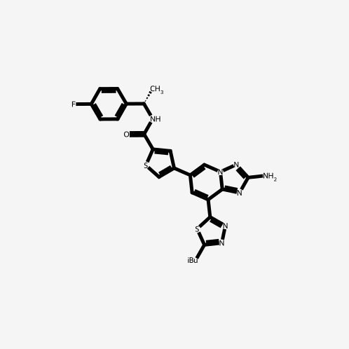 CCC(C)c1nnc(-c2cc(-c3csc(C(=O)N[C@@H](C)c4ccc(F)cc4)c3)cn3nc(N)nc23)s1